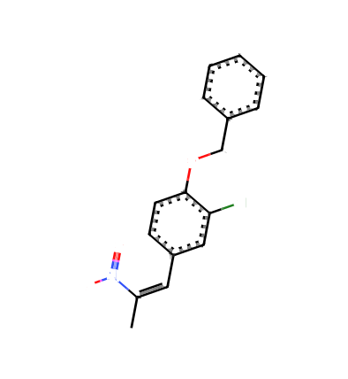 CC(=Cc1ccc(OCc2ccccc2)c(Cl)c1)[N+](=O)[O-]